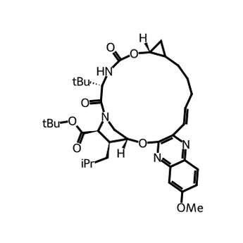 COc1ccc2nc3c(nc2c1)O[C@H]1CN(C(=O)[C@H](C(C)(C)C)NC(=O)O[C@@H]2CC2CCC/C=C/3)[C@H](C(=O)OC(C)(C)C)[C@@H]1CC(C)C